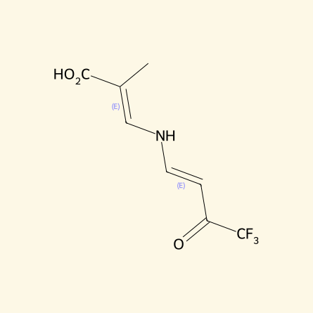 C/C(=C\N/C=C/C(=O)C(F)(F)F)C(=O)O